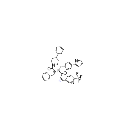 O=C([C@H](Cc1ccccc1)N(Cc1ccc(-c2ccccn2)cc1)C(=O)/C=C\c1ccc(C(F)(F)F)nc1)N1CCC(c2ccccc2)CC1